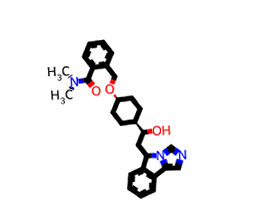 CN(C)C(=O)c1ccccc1CO[C@H]1CC[C@H](C(O)CC2c3ccccc3-c3cncn32)CC1